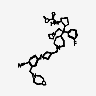 COC(=O)N[C@H]1CCC[C@@H]1[C@](CN1CCC1)(c1cccc(F)c1)C1CCN(CC2CN(c3ccc(C#N)c(CN4CCOCC4)c3)C2)CC1